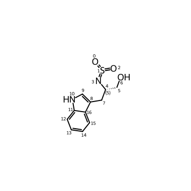 O=S(=O)=N[C@H](CO)Cc1c[nH]c2ccccc12